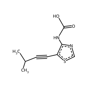 CC(C)C#Cc1scnc1NC(=O)O